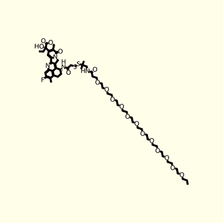 CCCOCCOCCOCCOCCOCCOCCOCCOCCOCCOCCOCCOCCC(=O)NCC(C)(C)SSCC(=O)N[C@H]1CCc2c(C)c(F)cc3nc4c(c1c23)Cn1c-4cc2c(c1=O)COC(=O)[C@]2(O)CC